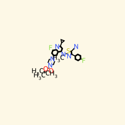 CN(c1nc(-c2ccc(F)cc2)c(C#N)s1)c1cc(C2CC2)nc2c(F)cc(N3CCN(C(=O)OC(C)(C)C)CC3)cc12